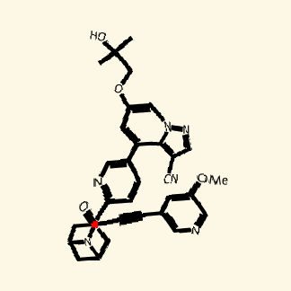 COc1cncc(C#CC(=O)N2C3CC2CN(c2ccc(-c4cc(OCC(C)(C)O)cn5ncc(C#N)c45)cn2)C3)c1